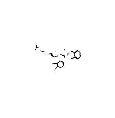 CC1=C(N(CC(=O)NCCNC(C)C)CC(=O)N(C)N2Cc3ccccc3C2)C=CCC1Cl